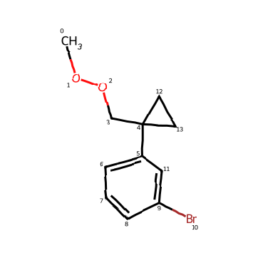 COOCC1(c2cccc(Br)c2)CC1